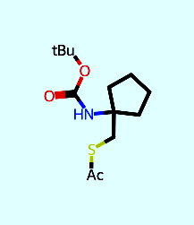 CC(=O)SCC1(NC(=O)OC(C)(C)C)CCCC1